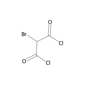 O=C(Cl)C(Br)C(=O)Cl